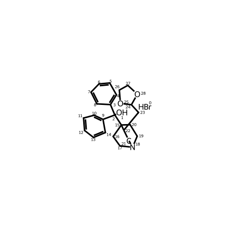 Br.OC(c1ccccc1)(c1ccccc1)C12CCN(CC1)CC2CC1OCCO1